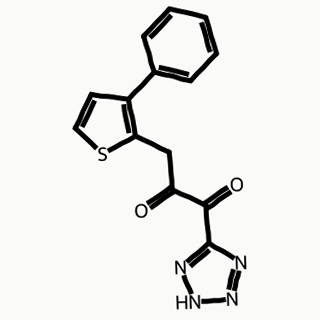 O=C(Cc1sccc1-c1ccccc1)C(=O)c1nn[nH]n1